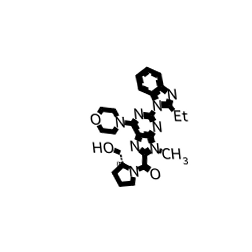 CCc1nc2ccccc2n1-c1nc(N2CCOCC2)c2nc(C(=O)N3CCC[C@@H]3CO)n(C)c2n1